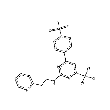 CS(=O)(=O)c1ccc(-c2nc(NCCc3ccccn3)nc(C(Cl)(Cl)Cl)n2)cc1